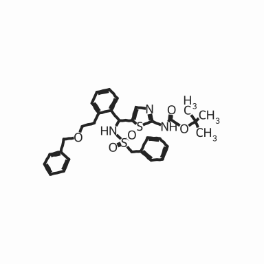 CC(C)(C)OC(=O)Nc1ncc(C(NS(=O)(=O)Cc2ccccc2)c2ccccc2CCOCc2ccccc2)s1